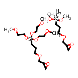 COCCO[Si](CCCOCC1CO1)(OCCOC)OCCOC.CO[Si](C)(CCCOCC1CO1)OC